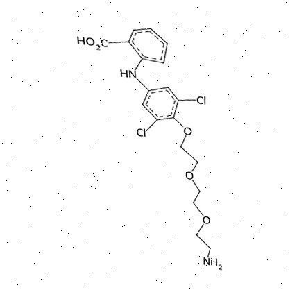 NCCOCCOCCOc1c(Cl)cc(Nc2ccccc2C(=O)O)cc1Cl